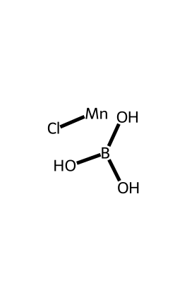 OB(O)O.[Cl][Mn]